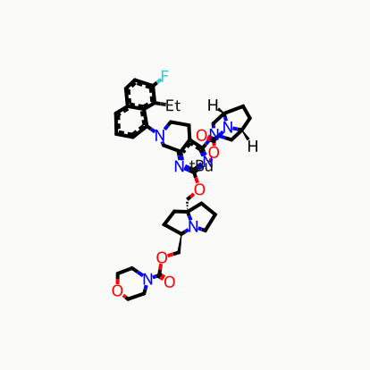 CCc1c(F)ccc2cccc(N3CCc4c(nc(OC[C@]56CCCN5[C@@H](COC(=O)N5CCOCC5)CC6)nc4N4C[C@H]5CC[C@@H](C4)N5C(=O)OC(C)(C)C)C3)c12